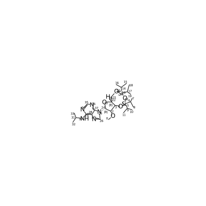 COC1C2O[Si](C(C)C)(C(C)C)O[Si](C(C)C)(C(C)C)OC[C@H]2O[C@H]1n1cnc2c(NC(C)C)ncnc21